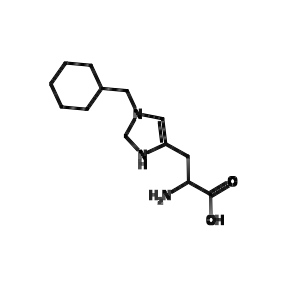 NC(CC1=CN(CC2CCCCC2)CN1)C(=O)O